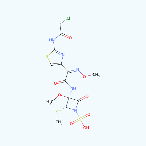 CON=C(C(=O)N[C@]1(OC)C(=O)N(S(=O)(=O)O)[C@@H]1SC)c1csc(NC(=O)CCl)n1